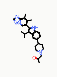 CC(=O)CN1CCC(c2ccc3[nH]c(-c4cn5ncnc5c(C)c4C)c(C(C)C)c3c2)CC1